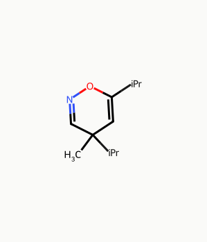 CC(C)C1=CC(C)(C(C)C)C=NO1